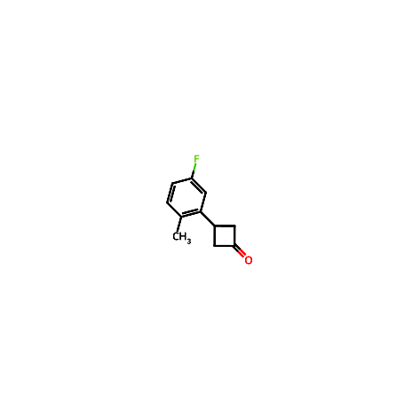 Cc1ccc(F)cc1C1CC(=O)C1